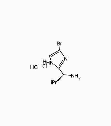 CC(C)[C@H](N)c1nc(Br)c[nH]1.Cl.Cl